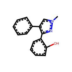 Cn1cc(-c2ccccc2)c(-c2ccccc2O)n1